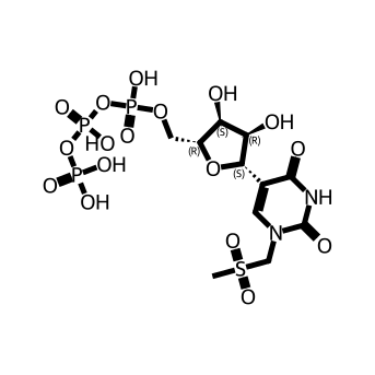 CS(=O)(=O)Cn1cc([C@@H]2O[C@H](COP(=O)(O)OP(=O)(O)OP(=O)(O)O)[C@@H](O)[C@H]2O)c(=O)[nH]c1=O